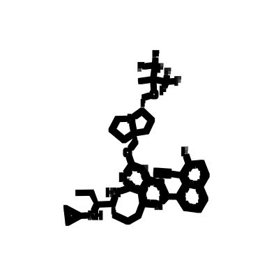 C#Cc1c(F)ccc2cccc(-c3nc4c5c(nc(OC[C@@]67CCCN6[C@H](COC(C)(C(F)(F)F)C(F)(F)F)CC7)nc5c3F)N[C@@H]([C@H](CC)NC3CC3)CCC4)c12